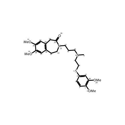 COc1ccc(SCCN(C)CCCN2CCc3cc(OC)c(OC)cc3CC2=O)cc1OC